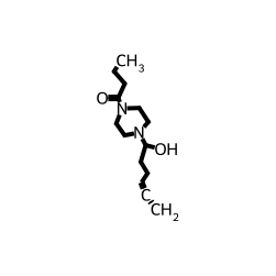 C=C=CCCC(O)N1CCN(C(=O)CCC)CC1